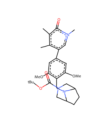 COc1cc(-c2cn(C)c(=O)c(C)c2C)cc(OC)c1CN1C2CCC1CN(C(=O)OC(C)(C)C)C2